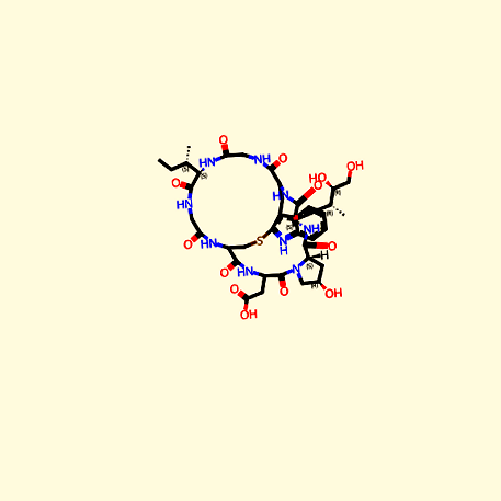 CC[C@H](C)[C@@H]1NC(=O)CNC(=O)C2Cc3c([nH]c4ccccc34)SCC(NC(=O)CNC1=O)C(=O)NC(CC(=O)O)C(=O)N1C[C@H](O)C[C@H]1C(=O)N[C@@H]([C@@H](C)[C@@H](O)CO)C(=O)N2